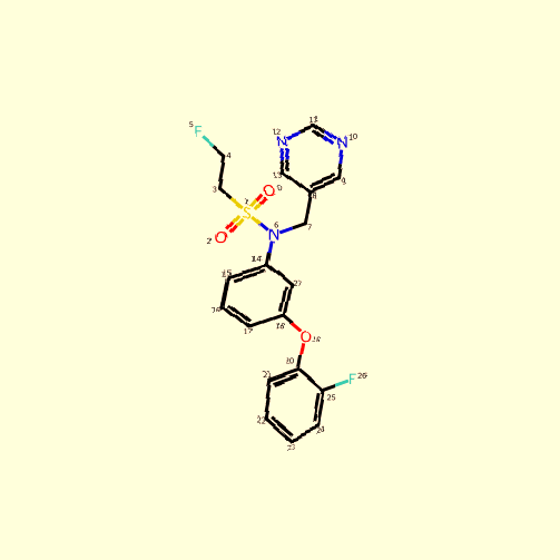 O=S(=O)(CCF)N(Cc1cncnc1)c1cccc(Oc2ccccc2F)c1